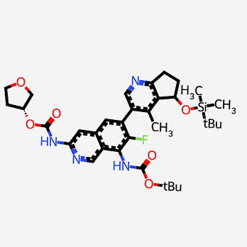 Cc1c(-c2cc3cc(NC(=O)O[C@@H]4CCOC4)ncc3c(NC(=O)OC(C)(C)C)c2F)cnc2c1C(O[Si](C)(C)C(C)(C)C)CC2